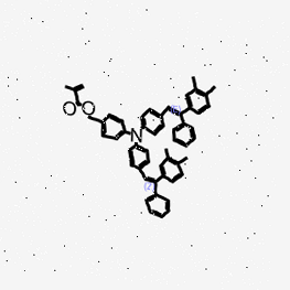 C=C(C)C(=O)OCc1ccc(N(c2ccc(/C=C(/c3ccccc3)c3ccc(C)c(C)c3)cc2)c2ccc(/C=C(\c3ccccc3)c3ccc(C)c(C)c3)cc2)cc1